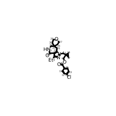 CCc1nn(CC2(COC(=O)c3ccc(Cl)cc3)CC2)c2c1C(=O)NCC1(CCOCC1)C2